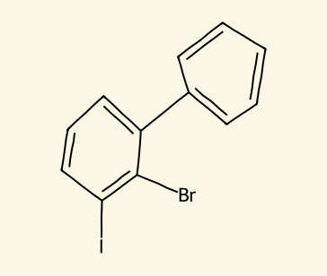 Brc1c(I)cccc1-c1ccccc1